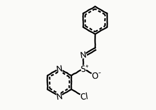 [O-][S+](N=Cc1ccccc1)c1nccnc1Cl